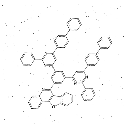 c1ccc(-c2ccc(-c3cc(-c4cc(-c5cc(-c6ccc(-c7ccccc7)cc6)nc(-c6ccccc6)n5)cc(-c5nc6ccccc6c6oc7ccccc7c56)c4)nc(-c4ccccc4)n3)cc2)cc1